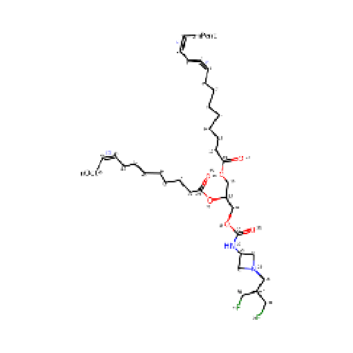 CCCCC/C=C\C/C=C\CCCCCCCC(=O)OCC(COC(=O)NC1CN(CC(CF)CF)C1)OC(=O)CCCCCCC/C=C\CCCCCCCC